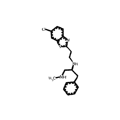 CNCC(Cc1ccccc1)NCCc1nc2ccc(Cl)cc2s1